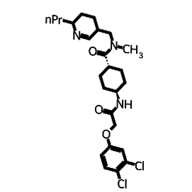 CCCC1CCC(CN(C)C(=O)[C@H]2CC[C@H](NC(=O)COc3ccc(Cl)c(Cl)c3)CC2)C=N1